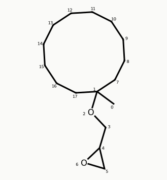 CC1(OCC2CO2)CCCCCCCCCCC1